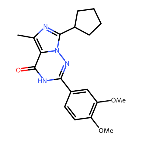 COc1ccc(-c2nn3c(C4CCCC4)nc(C)c3c(=O)[nH]2)cc1OC